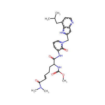 COC(=O)NC(CCC=CC(=O)N(C)C)C(=O)Nc1cccn(Cc2cc3nccc(CC(C)C)c3[nH]2)c1=O